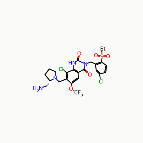 CCS(=O)(=O)c1ccc(Cl)cc1Cn1c(=O)[nH]c2c(Cl)c(CN3CCC[C@H]3CN)c(OC(F)(F)F)cc2c1=O